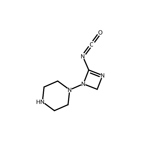 O=C=NC1=NCN1N1CCNCC1